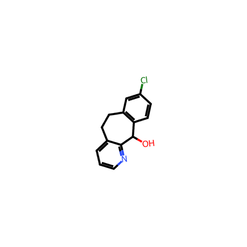 OC1c2ccc(Cl)cc2CCc2cccnc21